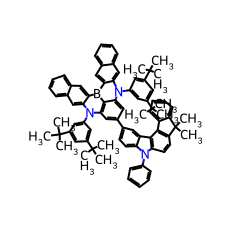 CC(C)(C)c1cc(N2c3cc4ccccc4cc3B3c4cc5ccccc5cc4N(c4cc(C(C)(C)C)cc(C(C)(C)C)c4)c4cc(-c5ccc6c(c5)c5c7c(ccc5n6-c5ccccc5)C(C)(C)c5ccccc5-7)cc2c43)cc(C(C)(C)C)c1